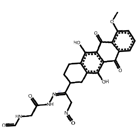 COc1cccc2c1C(=O)c1c(O)c3c(c(O)c1C2=O)CC(/C(CN=O)=N/NC(=O)CNC=O)CC3